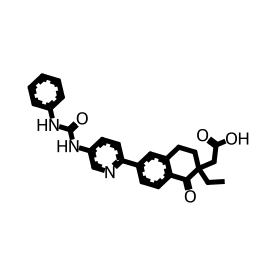 CCC1(CC(=O)O)CCc2cc(-c3ccc(NC(=O)Nc4ccccc4)cn3)ccc2C1=O